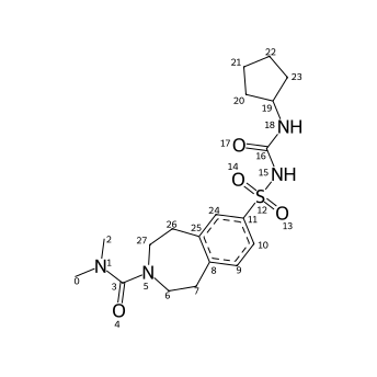 CN(C)C(=O)N1CCc2ccc(S(=O)(=O)NC(=O)NC3CCCC3)cc2CC1